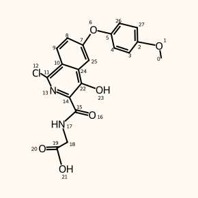 COc1ccc(Oc2ccc3c(Cl)nc(C(=O)NCC(=O)O)c(O)c3c2)cc1